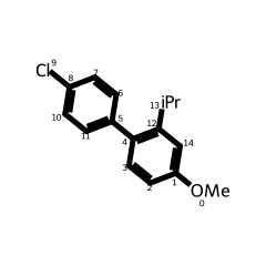 COc1ccc(-c2ccc(Cl)cc2)c(C(C)C)c1